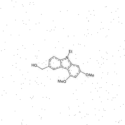 CCn1c2ccc(CO)cc2c2c(OC)cc(OC)cc21